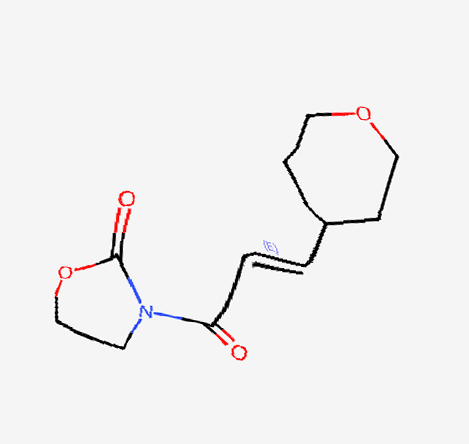 O=C(/C=C/C1CCOCC1)N1CCOC1=O